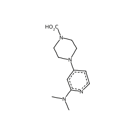 CN(C)c1cc(N2CCN(C(=O)O)CC2)ccn1